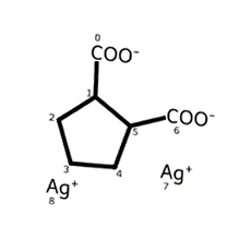 O=C([O-])C1CCCC1C(=O)[O-].[Ag+].[Ag+]